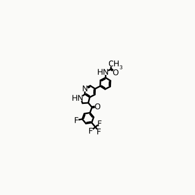 CC(=O)Nc1cccc(-c2cnc3c(c2)C(C(=O)c2cc(F)cc(C(F)(F)F)c2)CN3)c1